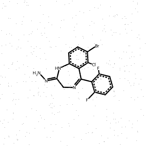 NN=C1CN=C(c2c(F)cccc2F)c2c(ccc(Br)c2Cl)N1